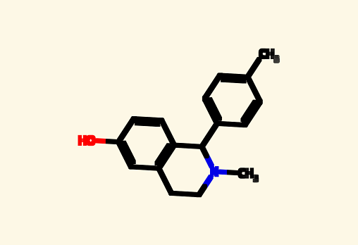 Cc1ccc(C2c3ccc(O)cc3CCN2C)cc1